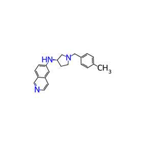 Cc1ccc(CN2CC[C@@H](Nc3ccc4cnccc4c3)C2)cc1